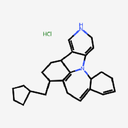 C1=CC2=CCC3=C4C(CCC3CC3CCCC3)C3=CNCC=C3N4C2CC1.Cl